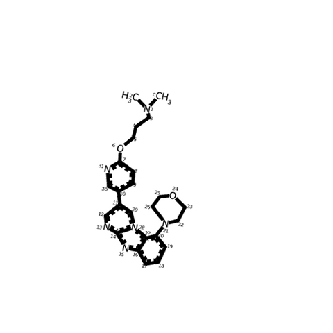 CN(C)CCCOc1ccc(-c2cnc3nc4cccc(N5CCOCC5)c4n3c2)cn1